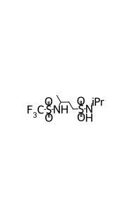 CC(C)NS(=O)(=O)CCC(C)NS(=O)(=O)C(F)(F)F